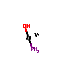 [OH][Zn][PH2].[V]